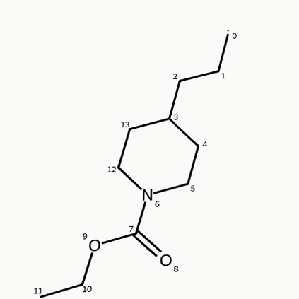 [CH2]CCC1CCN(C(=O)OCC)CC1